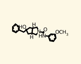 COc1cccc(NC(=O)N2C[C@@H]3CC(O)(Cc4ccccc4)C[C@@H]3C2)c1